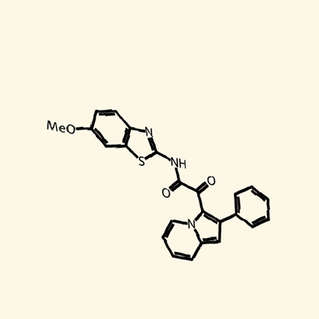 COc1ccc2nc(NC(=O)C(=O)c3c(-c4ccccc4)cc4ccccn34)sc2c1